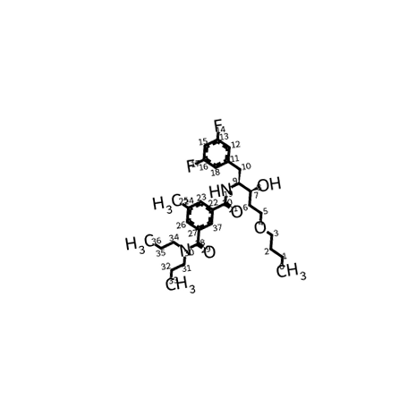 CCCCOCC[C@H](O)[C@H](Cc1cc(F)cc(F)c1)NC(=O)c1cc(C)cc(C(=O)N(CCC)CCC)c1